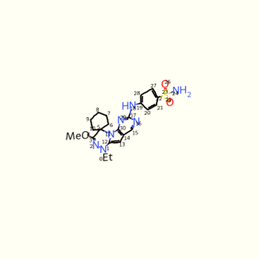 CCN1N=C(OC)C2(CCCCC2)n2c1cc1cnc(Nc3ccc(S(N)(=O)=O)cc3)nc12